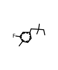 CCC(C)(C)Cc1ccc(C)c(F)c1